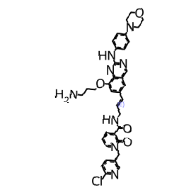 NCCCOc1cc(/C=C/CNC(=O)c2cccn(Cc3ccc(Cl)nc3)c2=O)cc2cnc(Nc3ccc(N4CCOCC4)cc3)nc12